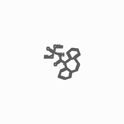 COP(=O)(NC(=O)N1c2ccccc2C=Cc2ccccc21)OC